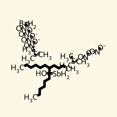 CCCCCCC(CCCC)[C](O)([SbH2])CCCCCC.C[S+](C)C.C[S+](C)C.O=N[O-].O=N[O-].O=N[O-].O=N[O-].O=N[O-].O=N[O-].[BaH2]